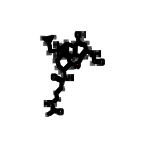 CC(=O)NCCCC(=O)N[C@@H]1CC[C@H]2[C@H]3Cc4c(O)cc(NC=O)c5c4[C@@]2(CCN3CC2CC2)[C@H]1O5